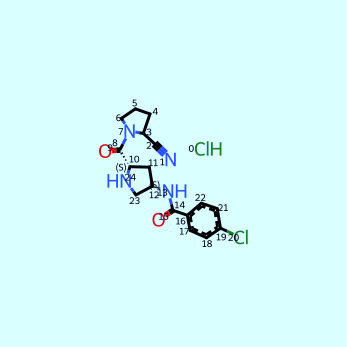 Cl.N#CC1CCCN1C(=O)[C@@H]1C[C@H](NC(=O)c2ccc(Cl)cc2)CN1